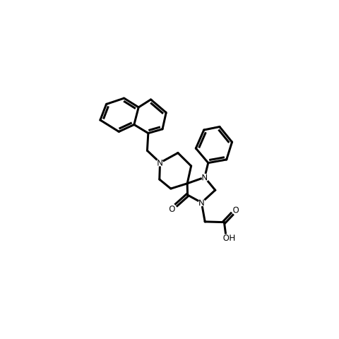 O=C(O)CN1CN(c2ccccc2)C2(CCN(Cc3cccc4ccccc34)CC2)C1=O